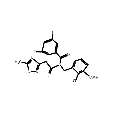 COc1cccc(CN(C(=O)Cc2noc(C)n2)C(=O)c2cc(F)cc(F)c2)c1Cl